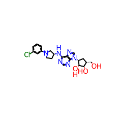 OC[C@H]1C[C@@H](n2cnc3c(N[C@H]4CCN(c5cccc(Cl)c5)C4)ncnc32)[C@H](O)[C@@H]1O